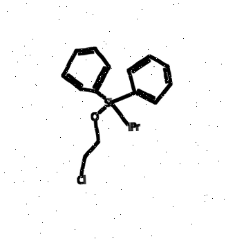 CC(C)[Si](OCCCl)(c1ccccc1)c1ccccc1